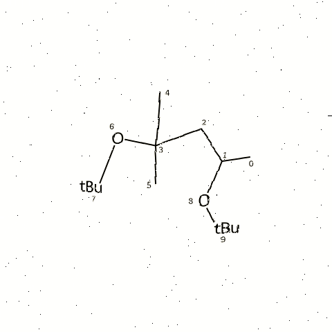 CC(CC(C)(C)OC(C)(C)C)OC(C)(C)C